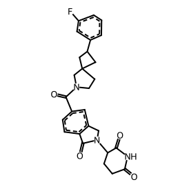 O=C1CCC(N2Cc3cc(C(=O)N4CCC5(CC(c6cccc(F)c6)C5)C4)ccc3C2=O)C(=O)N1